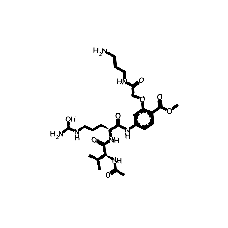 COC(=O)c1ccc(NC(=O)[C@H](CCCNC(N)O)NC(=O)[C@@H](NC(C)=O)C(C)C)cc1OCC(=O)NCCCN